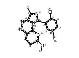 COc1ccc2nnc3c(C)nc(-c4cc(F)ccc4Cl)n3c2n1